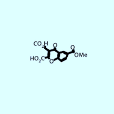 COC(=O)c1ccc2oc(C(=O)O)c(CC(=O)O)c(=O)c2c1